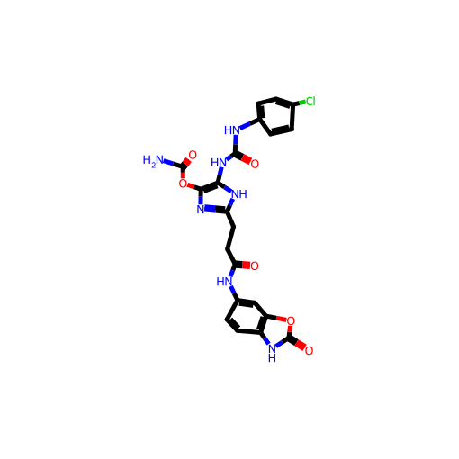 NC(=O)Oc1nc(CCC(=O)Nc2ccc3[nH]c(=O)oc3c2)[nH]c1NC(=O)Nc1ccc(Cl)cc1